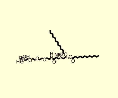 CCCCCCCCCCCC(=O)OC[C@H](CSC[C@H](N)C(=O)NCCOCCOCCOCCP(=O)(O)O)OC(=O)CCCCCCCCCCC